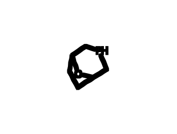 C1CC2CPCC1O2